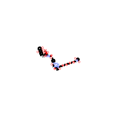 COc1c2c(c(O)c3c4c(c(C)cc13)[C@H]1O[C@]3(CNC(=O)OCc5ccc(NC(=O)[C@H](C)NC(=O)[C@@H](NC(=O)CCOCCOCCOCCOCCN6C(=O)C=CC6=O)C(C)C)cc5)O[C@@H]1C(OC)(O4)[C@@]31CO1)C(=O)CCC2